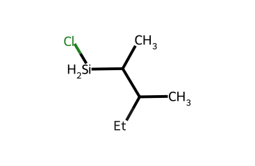 CCC(C)C(C)[SiH2]Cl